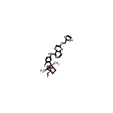 C[C@]1(c2cc(Nc3nccc4nc(OCc5ncc[nH]5)cnc34)ccc2F)N=C(N)[C@@]2(CF)CCC1S2(=O)=O